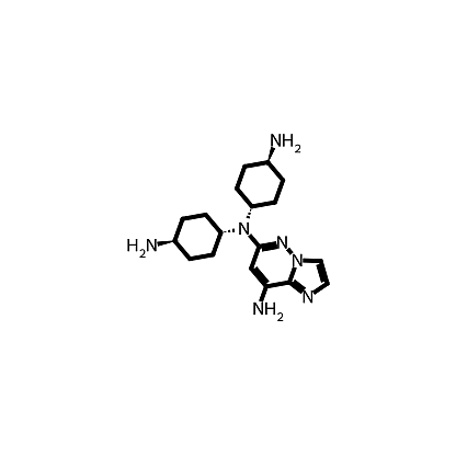 Nc1cc(N([C@H]2CC[C@H](N)CC2)[C@H]2CC[C@H](N)CC2)nn2ccnc12